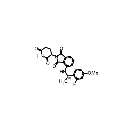 COc1ccc([C@@H](C)Nc2cccc3c2C(=O)N(C2CCC(=O)NC2=O)C3=O)c(F)c1